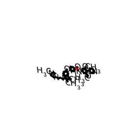 COc1cc(NC(=O)c2ccc(Oc3ccc4c(c3)c(C)c(C)n4CCCN3CCN(C)CC3)cc2)cc(OC)c1-c1ccncc1